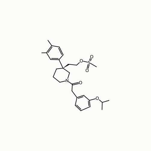 Cc1ccc([C@@]2(CCOS(C)(=O)=O)CCCN(C(=O)Cc3cccc(OC(C)C)c3)C2)cc1C